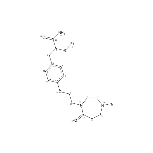 CCSC(Cc1ccc(OCCN2CCN(C)CCC2=O)cc1)C(N)=O